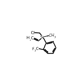 C=C[Si](C)(CCl)c1ccccc1C(F)(F)F